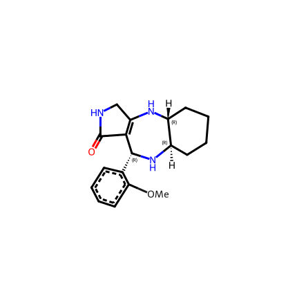 COc1ccccc1[C@H]1N[C@@H]2CCCC[C@H]2NC2=C1C(=O)NC2